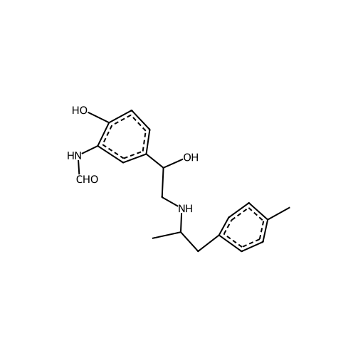 Cc1ccc(CC(C)NCC(O)c2ccc(O)c(NC=O)c2)cc1